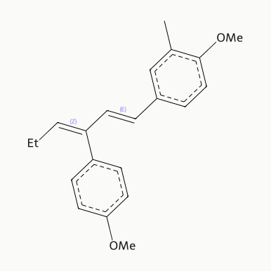 CC/C=C(/C=C/c1ccc(OC)c(C)c1)c1ccc(OC)cc1